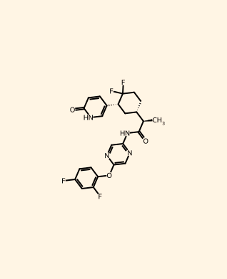 C[C@@H](C(=O)Nc1cnc(Oc2ccc(F)cc2F)cn1)[C@H]1CCC(F)(F)[C@@H](c2ccc(=O)[nH]c2)C1